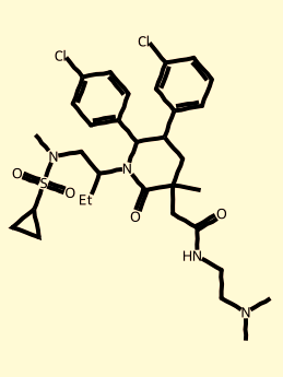 CCC(CN(C)S(=O)(=O)C1CC1)N1C(=O)C(C)(CC(=O)NCCN(C)C)CC(c2cccc(Cl)c2)C1c1ccc(Cl)cc1